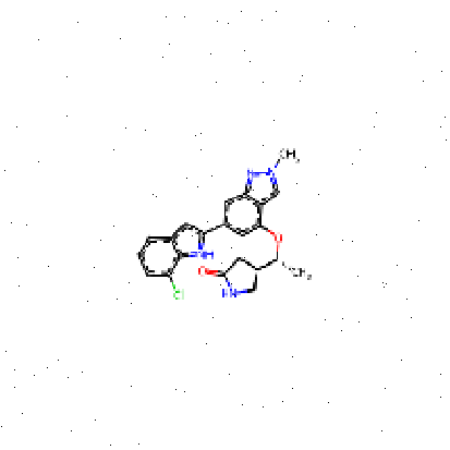 C[C@@H](Oc1cc(-c2cc3cccc(Cl)c3[nH]2)cc2nn(C)cc12)[C@H]1CNC(=O)C1